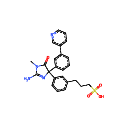 CN1C(=O)C(c2cccc(CCCS(=O)(=O)O)c2)(c2cccc(-c3cccnc3)c2)N=C1N